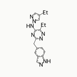 CCc1cnn(Nc2nc(Cc3ccc4[nH]ncc4c3)nnc2CC)c1